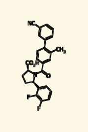 Cc1cc(C(=O)N2[C@@H](c3cccc(F)c3F)CC[C@H]2C(=O)O)ccc1-c1cccc(C#N)c1